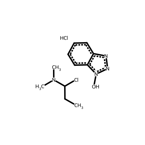 CCC(Cl)N(C)C.Cl.On1nnc2ccccc21